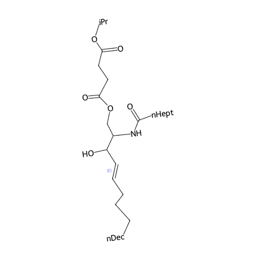 CCCCCCCCCCCCC/C=C/C(O)C(COC(=O)CCC(=O)OC(C)C)NC(=O)CCCCCCC